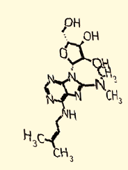 CC(C)=CCNc1ncnc2c1nc(N(C)C)n2[C@@H]1O[C@H](CO)[C@@H](O)[C@H]1O